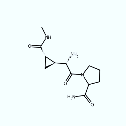 CNC(=O)[C@H]1C[C@@H]1[C@H](N)C(=O)N1CCCC1C(N)=O